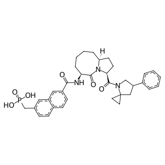 O=C(N[C@H]1CCCC[C@H]2CC[C@@H](C(=O)N3CC(c4ccccc4)CC34CC4)N2C1=O)c1ccc2ccc(CP(=O)(O)O)cc2c1